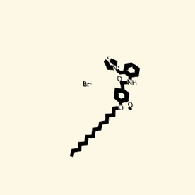 CCCCCCCCCCCCCCOc1ccc(C(=O)Nc2ccccc2C[n+]2ccsc2)cc1OC.[Br-]